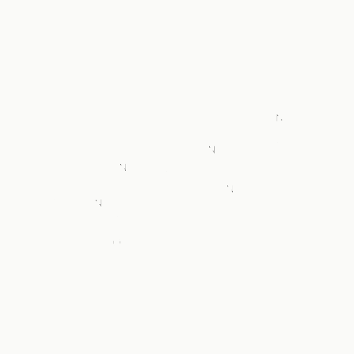 CC1(C)CCc2nc3cc(-c4ncc(-c5ccccn5)cn4)ccc3c(=O)n2C1